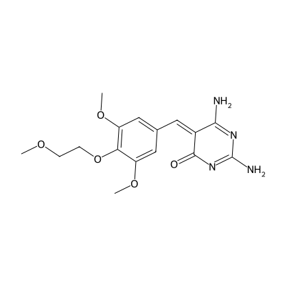 COCCOc1c(OC)cc(C=C2C(=O)N=C(N)N=C2N)cc1OC